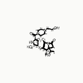 CC(O)C12CC(=O)N1C(C(=O)O)=C(S[C@@H]1CN[C@@H](C(=O)N3CCN(CCO)CC3)C1)[C@@H]2C.Cl